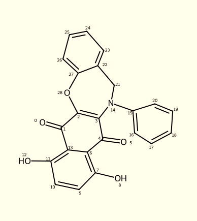 O=C1C2=C(C(=O)c3c(O)ccc(O)c31)N(c1ccccc1)Cc1ccccc1O2